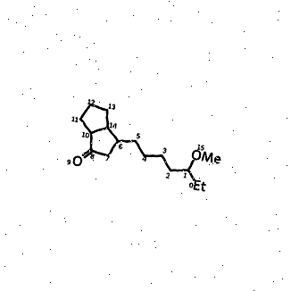 CCC(CCCCC1CC(=O)C2CCCC12)OC